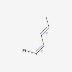 C/C=C/C=[C]\CC